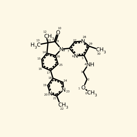 COCCNc1nc(N2C(=O)C(C)(C)c3ccc(-c4cnc(C)nc4)cc32)cnc1C